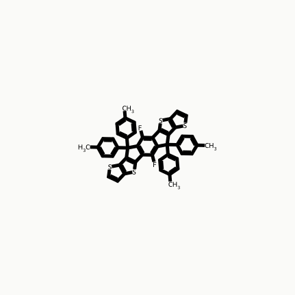 Cc1ccc(C2(c3ccc(C)cc3)c3c(F)c4c(c(F)c3-c3sc5ccsc5c32)C(c2ccc(C)cc2)(c2ccc(C)cc2)c2c-4sc3ccsc23)cc1